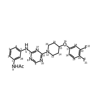 CC(=O)Nc1cccc(Nc2ncnc(N3CCC(Oc4ccc(F)c(F)c4)CC3)n2)c1